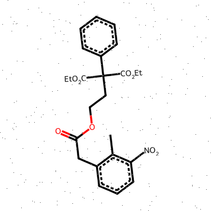 CCOC(=O)C(CCOC(=O)Cc1cccc([N+](=O)[O-])c1C)(C(=O)OCC)c1ccccc1